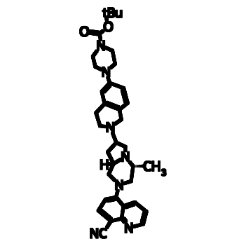 C[C@@H]1CN(c2ccc(C#N)c3ncccc23)C[C@@H]2CC(N3CCc4cc(N5CCN(C(=O)OC(C)(C)C)CC5)ccc4C3)CN21